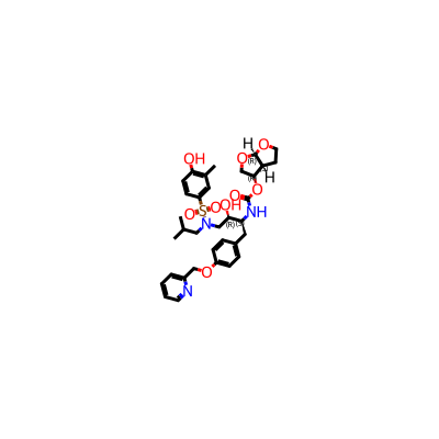 Cc1cc(S(=O)(=O)N(CC(C)C)C[C@@H](O)[C@H](Cc2ccc(OCc3ccccn3)cc2)NC(=O)O[C@H]2CO[C@H]3OCC[C@H]32)ccc1O